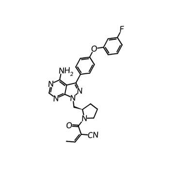 C/C=C(/C#N)C(=O)N1CCC[C@@H]1Cn1nc(-c2ccc(Oc3cccc(F)c3)cc2)c2c(N)ncnc21